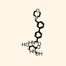 CC(O)[C@H](NC(=O)c1ccc(-c2cccc(CN3CCOCC3)c2)cc1)C(=O)NO